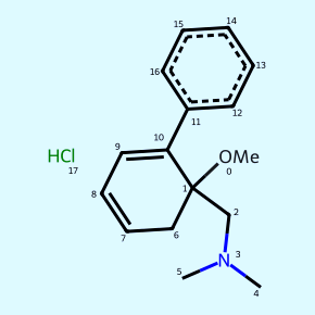 COC1(CN(C)C)CC=CC=C1c1ccccc1.Cl